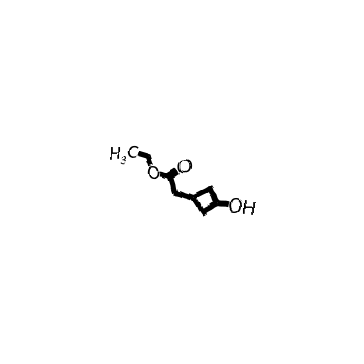 CCOC(=O)CC1CC(O)C1